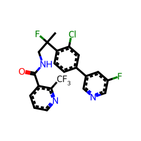 CC(F)(CNC(=O)c1cccnc1C(F)(F)F)c1ccc(-c2cncc(F)c2)cc1Cl